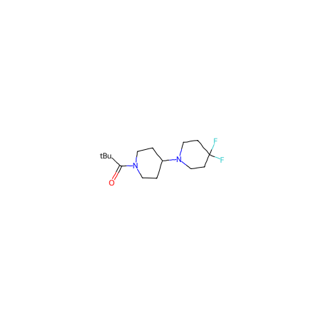 CC(C)(C)C(=O)N1CCC(N2CCC(F)(F)CC2)CC1